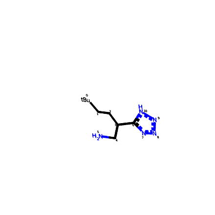 CC(C)(C)CCC(CN)c1nnn[nH]1